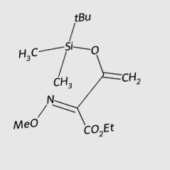 C=C(O[Si](C)(C)C(C)(C)C)C(=NOC)C(=O)OCC